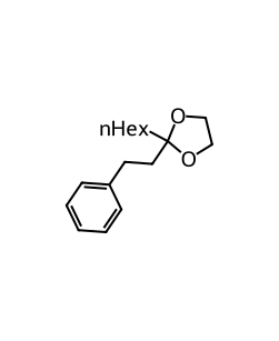 CCCCCCC1(CCc2ccccc2)OCCO1